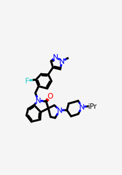 CC(C)N1CCC(N2CCC3(C2)C(=O)N(Cc2ccc(-c4cnn(C)c4)cc2F)c2ccccc23)CC1